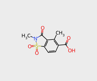 Cc1c(C(=O)O)ccc2c1C(=O)N(C)S2(=O)=O